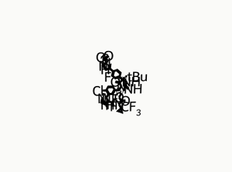 CC(C)(C)C[C@]1(c2ccc(-c3cnn([SH](=O)=O)c3)c(F)c2)NC(=N)N([C@H](COC(=O)NC2(C(F)(F)F)CC2)c2ccc(Cl)c(-n3ncnc3C(F)F)c2)C1=O